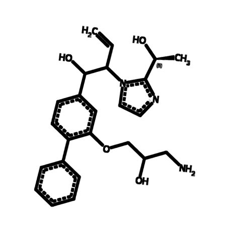 C=CC(C(O)c1ccc(-c2ccccc2)c(OCC(O)CN)c1)n1ccnc1[C@H](C)O